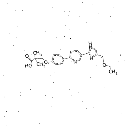 CCOCc1c[nH]c(-c2ccc(-c3ccc(OCC(C)(C)C(=O)O)cc3)nc2)n1